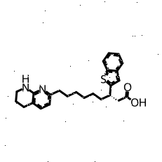 O=C(O)C[C@H](CCCCCCc1ccc2c(n1)NCCC2)c1cc2ccccc2s1